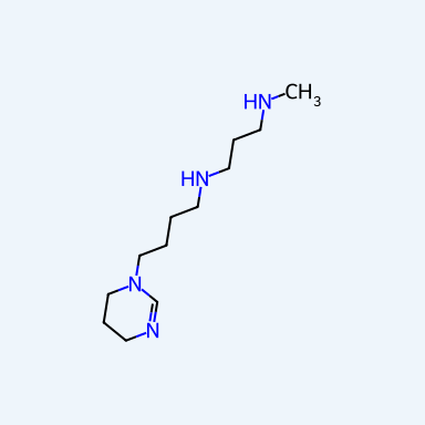 CNCCCNCCCCN1C=NCCC1